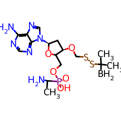 BC(C)(C)SSCO[C@@H]1C[C@H](n2cnc3c(N)ncnc32)OC1COP(=O)(O)C(C)N